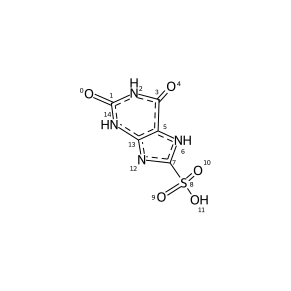 O=c1[nH]c(=O)c2[nH]c(S(=O)(=O)O)nc2[nH]1